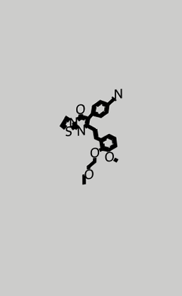 CCOCCOc1c(C=Cc2nc3sccn3c(=O)c2-c2ccc(C#N)cc2)cccc1OC